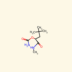 CNC(=O)C(CC(C)(C)C)OC(N)=O